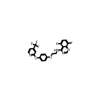 Fc1ccc(F)c2c(NCCOc3ccc(Oc4cc(C(F)(F)F)ccn4)cc3)ncnc12